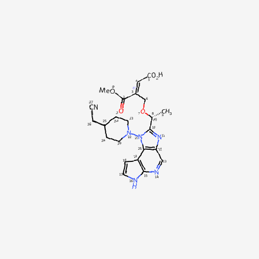 COC(=O)/C(=C/C(=O)O)CO[C@H](C)c1nc2cnc3[nH]ccc3c2n1N1CCC(CC#N)CC1